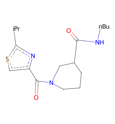 CCCCNC(=O)C1CCCN(C(=O)c2csc(C(C)C)n2)C1